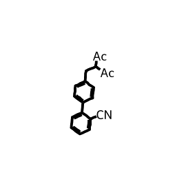 CC(=O)C(Cc1ccc(-c2ccccc2C#N)cc1)C(C)=O